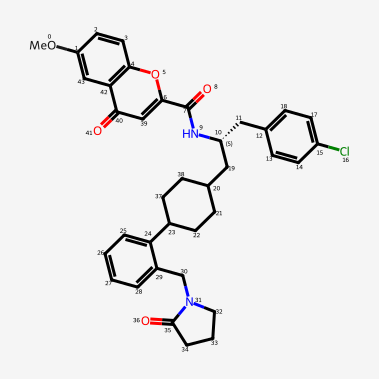 COc1ccc2oc(C(=O)N[C@H](Cc3ccc(Cl)cc3)CC3CCC(c4ccccc4CN4CCCC4=O)CC3)cc(=O)c2c1